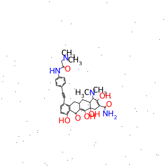 CN(C)CC(=O)Nc1ccc(C#Cc2ccc(O)c3c2CC2CC4C(N(C)C)C(O)=C(C(N)=O)CC4(O)C(O)=C2C3=O)cc1